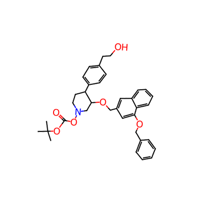 CC(C)(C)OC(=O)ON1CCC(c2ccc(CCO)cc2)C(OCc2cc(OCc3ccccc3)c3ccccc3c2)C1